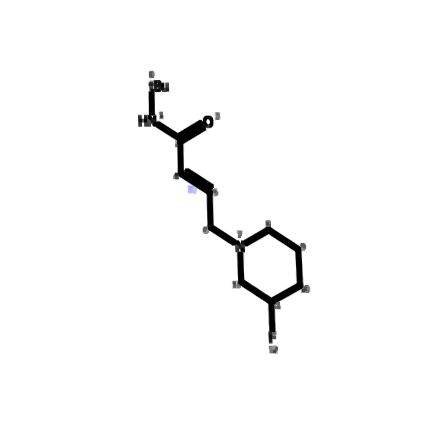 CC(C)(C)NC(=O)/C=C/CN1CCCC(F)C1